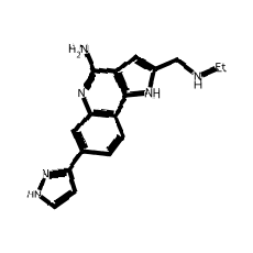 CCNCc1cc2c(N)nc3cc(-c4cc[nH]n4)ccc3c2[nH]1